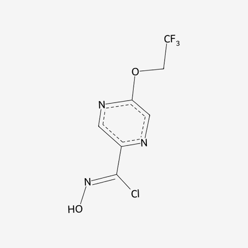 O/N=C(\Cl)c1cnc(OCC(F)(F)F)cn1